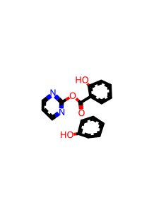 O=C(Oc1ncccn1)c1ccccc1O.Oc1ccccc1